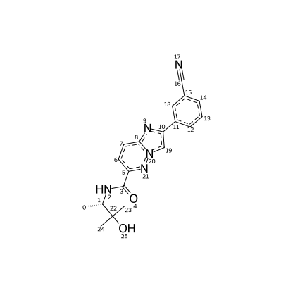 C[C@H](NC(=O)c1ccc2nc(-c3cccc(C#N)c3)cn2n1)C(C)(C)O